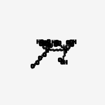 COCCOCCOCCOCCN1/C(=C/C=C/C=C/C=C/C2=[N+](CCCCCC(=O)O)c3ccc(S(=O)(=O)O)cc3C2(C)CCCS(=O)(=O)O)C(C)(CCCS(=O)(=O)O)c2cc(S(=O)(=O)O)ccc21